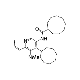 C/C=C\c1ncc(NC(=O)C2CCCCCCCC2)c(C2CCCCCCC2)c1NC